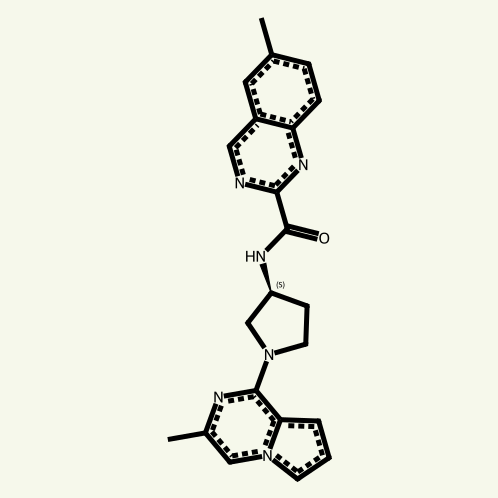 Cc1ccc2nc(C(=O)N[C@H]3CCN(c4nc(C)cn5cccc45)C3)ncc2c1